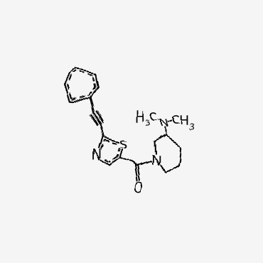 CN(C)C1CCCN(C(=O)c2cnc(C#Cc3ccccc3)s2)C1